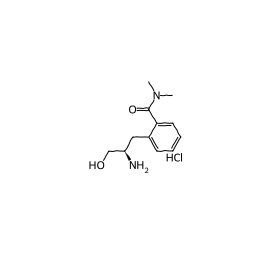 CN(C)C(=O)c1ccccc1C[C@@H](N)CO.Cl